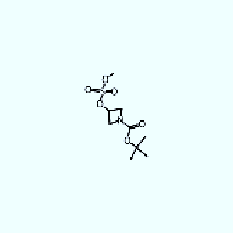 COS(=O)(=O)OC1CN(C(=O)OC(C)(C)C)C1